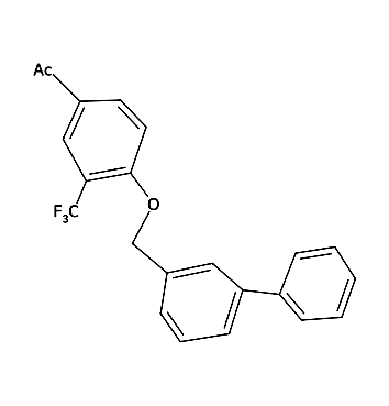 CC(=O)c1ccc(OCc2cccc(-c3ccccc3)c2)c(C(F)(F)F)c1